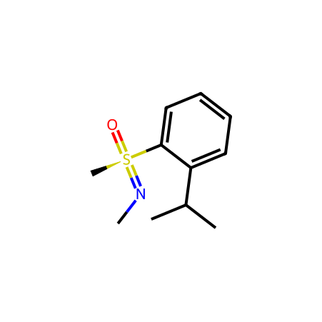 CN=[S@](C)(=O)c1ccccc1C(C)C